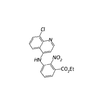 CCOC(=O)c1cccc(Nc2ccnc3c(Cl)cccc23)c1[N+](=O)[O-]